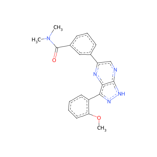 COc1ccccc1-c1n[nH]c2ncc(-c3cccc(C(=O)N(C)C)c3)nc12